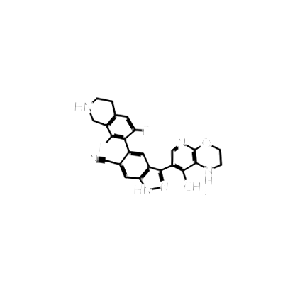 Cc1c(-c2n[nH]c3cc(C#N)c(-c4c(F)cc5c(c4F)CNCC5)cc23)cnc2c1NCCO2